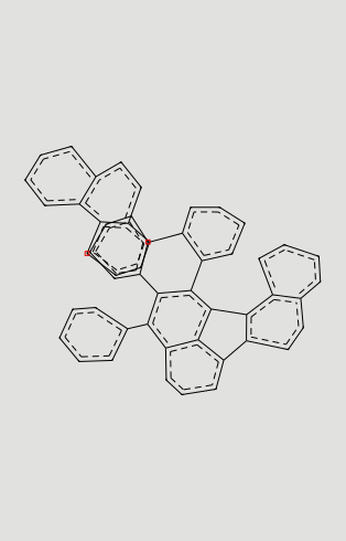 c1ccc(-c2c(-c3ccccc3-c3cccc4c3ccc3ccccc34)c3c4c(cccc4c2-c2ccccc2)-c2ccc4ccccc4c2-3)cc1